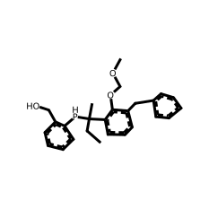 CCC(C)(Pc1ccccc1CO)c1cccc(Cc2ccccc2)c1OCOC